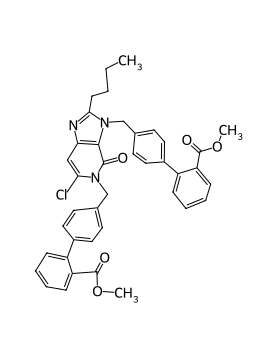 CCCCc1nc2cc(Cl)n(Cc3ccc(-c4ccccc4C(=O)OC)cc3)c(=O)c2n1Cc1ccc(-c2ccccc2C(=O)OC)cc1